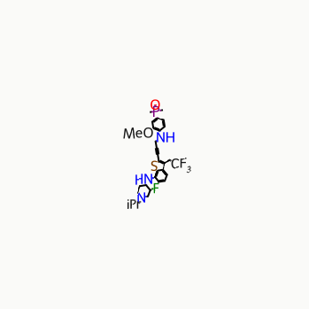 COc1cc(P(C)(C)=O)ccc1NCC#Cc1sc2c(NC3CCN(C(C)C)CC3F)cccc2c1CC(F)(F)F